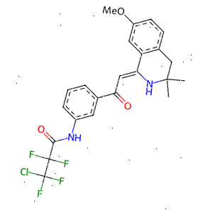 COc1ccc2c(c1)C(=CC(=O)c1cccc(NC(=O)C(F)(F)C(F)(F)Cl)c1)NC(C)(C)C2